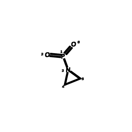 O=P(=O)N1CC1